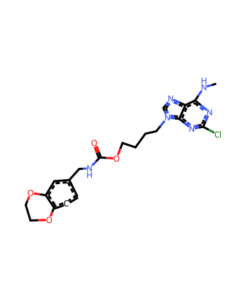 CNc1nc(Cl)nc2c1ncn2CCCCOC(=O)NCc1ccc2c(c1)OCCO2